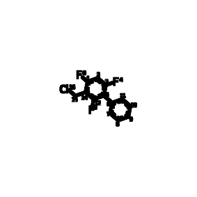 Fc1cc(F)c(-c2ccccc2)c(F)c1CCl